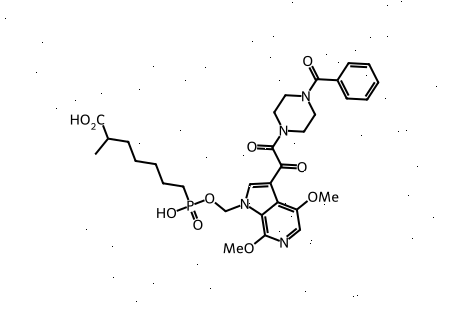 COc1cnc(OC)c2c1c(C(=O)C(=O)N1CCN(C(=O)c3ccccc3)CC1)cn2COP(=O)(O)CCCCCC(C)C(=O)O